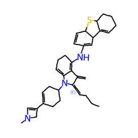 C=c1c2c(n(C3CC=C(C4=CN(C)C4)CC3)/c1=C/CCC)=CCCC=2NC1=CC2C3=CCCCC3SC2C=C1